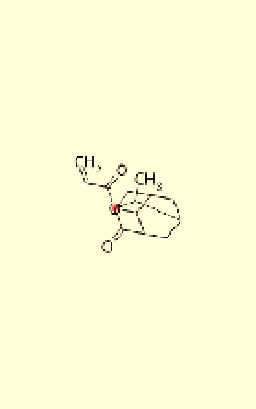 C=CC(=O)OC1C2CC3CC1C(=O)C(C2)C3C